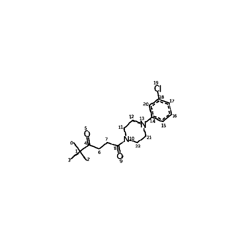 CC(C)(C)C(=O)CCC(=O)N1CCN(c2cccc(Cl)c2)CC1